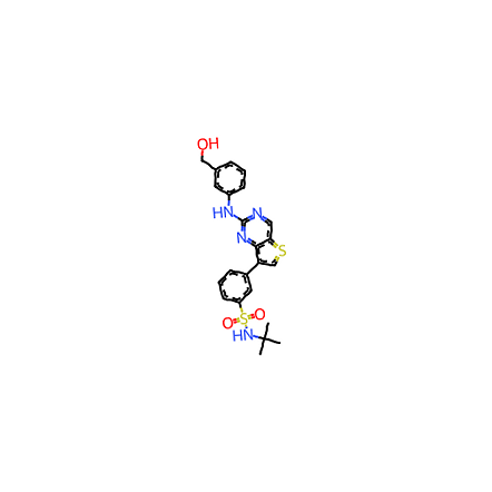 CC(C)(C)NS(=O)(=O)c1cccc(-c2csc3cnc(Nc4cccc(CO)c4)nc23)c1